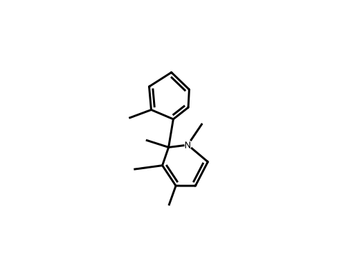 CC1=C(C)C(C)(c2ccccc2C)N(C)C=C1